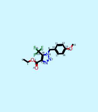 CCOC(=O)c1nnn(Cc2ccc(OC)cc2)c1C(F)(F)F